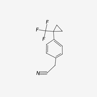 N#CCc1ccc(C2(C(F)(F)F)CC2)cc1